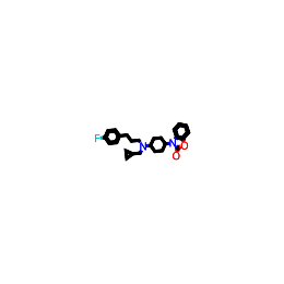 O=c1oc2ccccc2n1C1CCC(N(CCCc2ccc(F)cc2)CC2CC2)CC1